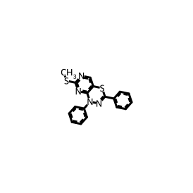 CSc1ncc2c(n1)N(c1ccccc1)N=C(c1ccccc1)S2